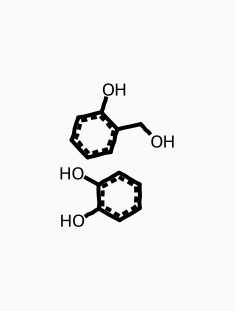 OCc1ccccc1O.Oc1ccccc1O